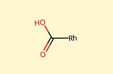 O=[C](O)[Rh]